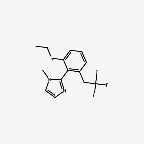 CCSc1cccc(CC(F)(F)F)c1-c1nccn1C